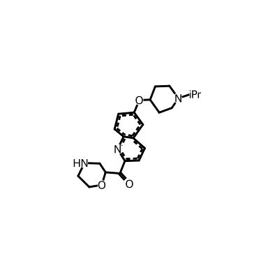 CC(C)N1CCC(Oc2ccc3nc(C(=O)C4CNCCO4)ccc3c2)CC1